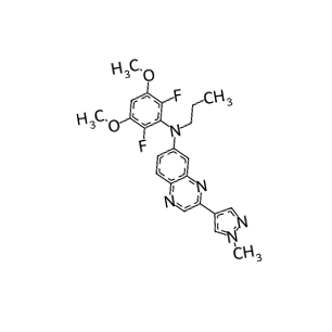 CCCN(c1ccc2ncc(-c3cnn(C)c3)nc2c1)c1c(F)c(OC)cc(OC)c1F